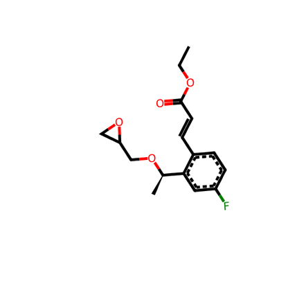 CCOC(=O)/C=C/c1ccc(F)cc1[C@@H](C)OCC1CO1